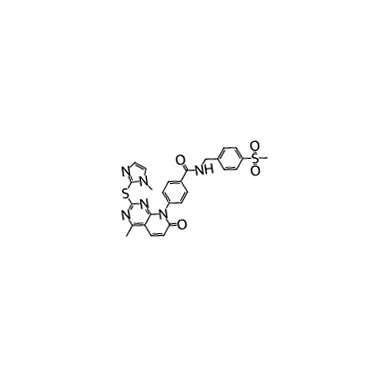 Cc1nc(Sc2nccn2C)nc2c1ccc(=O)n2-c1ccc(C(=O)NCc2ccc(S(C)(=O)=O)cc2)cc1